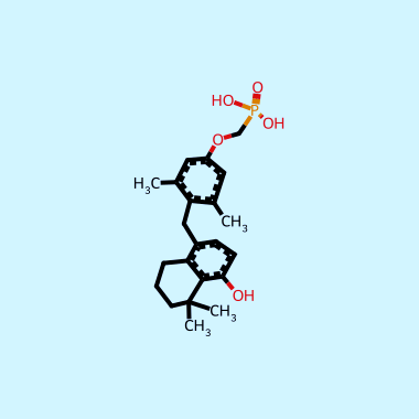 Cc1cc(OCP(=O)(O)O)cc(C)c1Cc1ccc(O)c2c1CCCC2(C)C